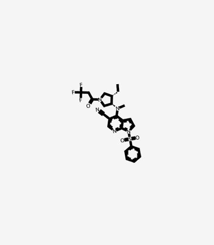 CC[C@H]1CN(C(=O)CC(F)(F)F)C[C@H]1N(C)c1c(C#N)cnc2c1ccn2S(=O)(=O)c1ccccc1